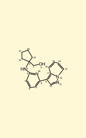 OCC1(Nc2cccc(-c3cnn4ccccc34)n2)CCCC1